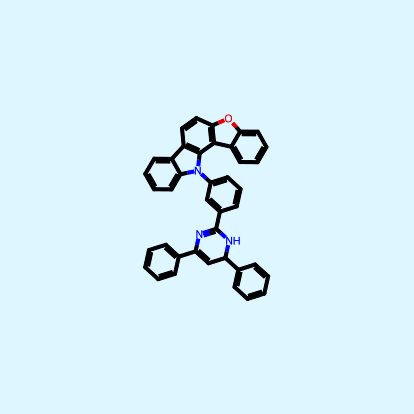 C1=C(c2ccccc2)N=C(c2cccc(-n3c4ccccc4c4ccc5oc6ccccc6c5c43)c2)NC1c1ccccc1